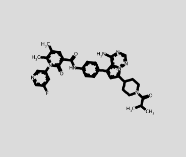 Cc1cc(C(=O)Nc2ccc(-c3cc(C4CCN(C(=O)C(C)C)CC4)n4ncnc(N)c34)cc2)c(=O)n(-c2cncc(F)c2)c1C